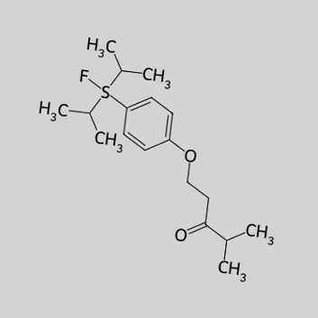 CC(C)C(=O)CCOc1ccc(S(F)(C(C)C)C(C)C)cc1